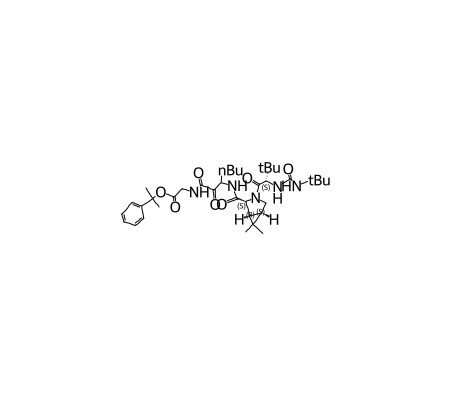 CCCCC(NC(=O)[C@@H]1[C@@H]2[C@H](CN1C(=O)[C@@H](NC(=O)NC(C)(C)C)C(C)(C)C)C2(C)C)C(=O)C(=O)NCC(=O)OC(C)(C)c1ccccc1